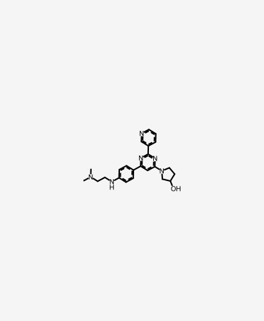 CN(C)CCNc1ccc(-c2cc(N3CCC(O)C3)nc(-c3cccnc3)n2)cc1